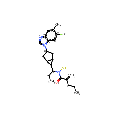 C=C(CCC)C(=O)N(S)C(CC)C1C2CC(n3cnc4cc(C)c(F)cc43)CC21